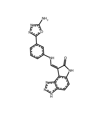 Nc1nnc(-c2cccc(NC=C3C(=O)Nc4ccc5[nH]nnc5c43)c2)o1